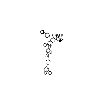 COc1c(OC(C)C)cc2c(c1-c1ccc(Cl)cc1)CC(=O)N(c1ccc(N(C)C[C@H]3CC[C@H](N4CCN(C)C(=O)C4)CC3)nc1)C2